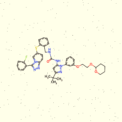 CC(C)(C)c1cc(NC(=O)NCc2ccccc2Sc2ccc3nnc(-c4ccccc4F)n3c2)n(-c2cccc(OCCOC3CCCCO3)c2)n1